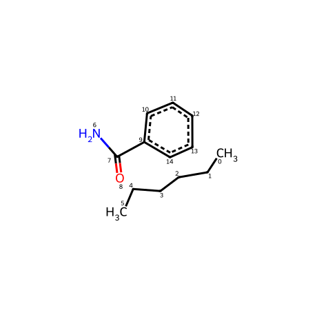 CCCCCC.NC(=O)c1ccccc1